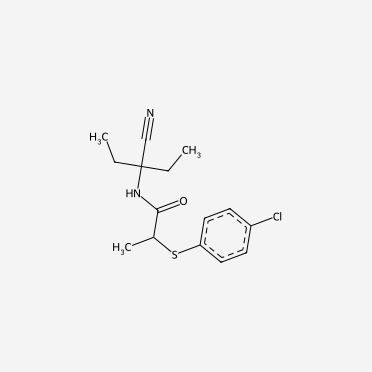 CCC(C#N)(CC)NC(=O)C(C)Sc1ccc(Cl)cc1